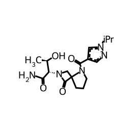 CC(C)n1cc(C(=O)N2CCCC23CN([C@H](C(N)=O)[C@@H](C)O)C3=O)cn1